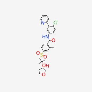 C1CCOC1.Cc1cc(S(=O)(=O)CC(C)(C)O)ccc1C(=O)Nc1ccc(Cl)c(-c2ccccn2)c1